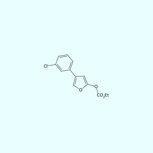 CCOC(=O)Oc1cc(-c2cccc(Cl)c2)co1